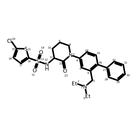 CCN(CC)Cc1cc(N2CCCC(NS(=O)(=O)c3ccc(Cl)s3)C2=O)ccc1-c1ccccc1